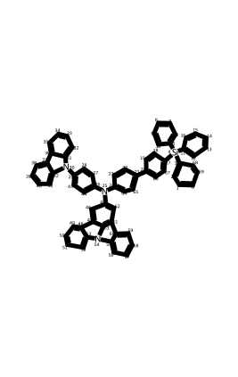 c1ccc([Si](c2ccccc2)(c2ccccc2)c2ccc(-c3ccc(N(c4ccc(-n5c6ccccc6c6ccccc65)cc4)c4cc5c6ccccc6n6c7ccccc7c(c4)c56)cc3)cc2)cc1